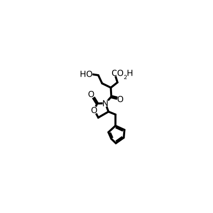 O=C(O)CC(CCO)C(=O)N1C(=O)OCC1Cc1ccccc1